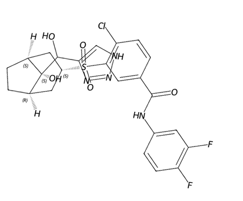 O=C(Nc1ccc(F)c(F)c1)c1ccc(Cl)c(S(=O)(=O)[C@@H]2C[C@H]3CC[C@@H](C2)[C@@]3(O)C(O)c2c[nH]nn2)c1